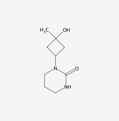 CC1(O)CC(N2CCCNC2=O)C1